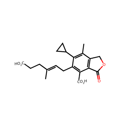 C/C(=C\Cc1c(C(=O)O)c2c(c(C)c1C1CC1)COC2=O)CCC(=O)O